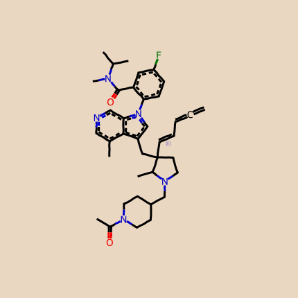 C=C=C/C=C/C1(Cc2cn(-c3ccc(F)cc3C(=O)N(C)C(C)C)c3cncc(C)c23)CCN(CC2CCN(C(C)=O)CC2)C1C